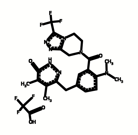 Cc1c(Cc2ccc(N(C)C)c(C(=O)N3CCn4c(nnc4C(F)(F)F)C3)c2)n[nH]c(=O)c1C.O=C(O)C(F)(F)F